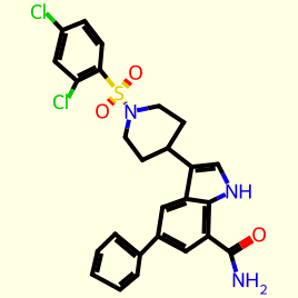 NC(=O)c1cc(-c2ccccc2)cc2c(C3CCN(S(=O)(=O)c4ccc(Cl)cc4Cl)CC3)c[nH]c12